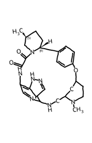 C[C@H]1CC[C@@H]2c3ccc(cc3)OC3CCN(C)C(CNc4ncc(c5[nH]ncc45)NC(=O)C(=O)N2C1)C3